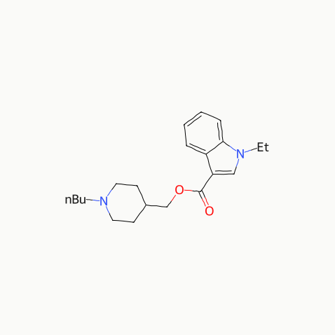 CCCCN1CCC(COC(=O)c2cn(CC)c3ccccc23)CC1